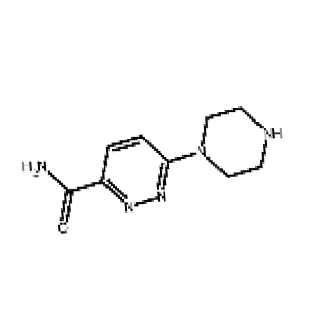 NC(=O)c1ccc(N2CCNCC2)nn1